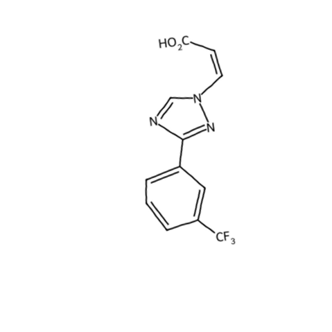 O=C(O)/C=C\n1cnc(-c2cccc(C(F)(F)F)c2)n1